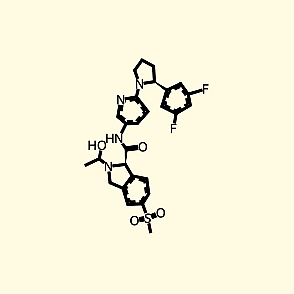 CC(O)N1Cc2cc(S(C)(=O)=O)ccc2[C@@H]1C(=O)Nc1ccc(N2CCC[C@H]2c2cc(F)cc(F)c2)nc1